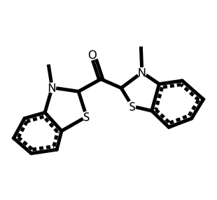 CN1c2ccccc2SC1C(=O)C1Sc2ccccc2N1C